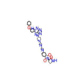 Nc1ncnc2c1c(-c1ccc(Oc3ccccc3)cc1)nn2C1CCN(C2CN(C3CN(c4ccc5c(c4)C(=O)N([C@@H]4CCCNC4=O)C5=O)C3)C2)CC1